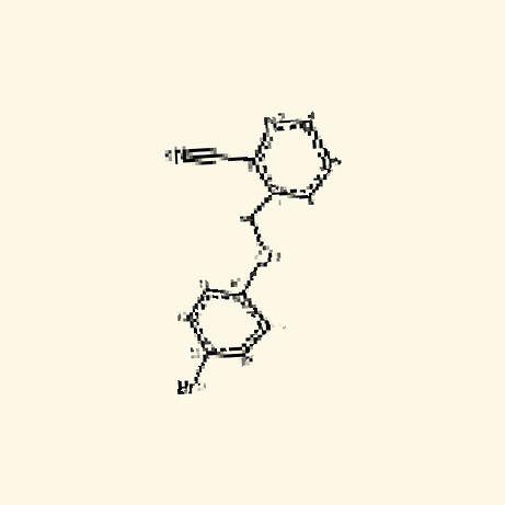 N#Cc1ncccc1COc1ccc(Br)cc1